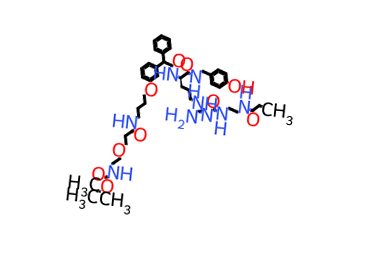 CCC(=O)NCCNC(=O)/N=C(/N)NCCC[C@@H](NC(=O)C(c1ccccc1)c1cccc(OCCCCNC(=O)CCOCCNC(=O)OC(C)(C)C)c1)C(=O)NCc1ccc(O)cc1